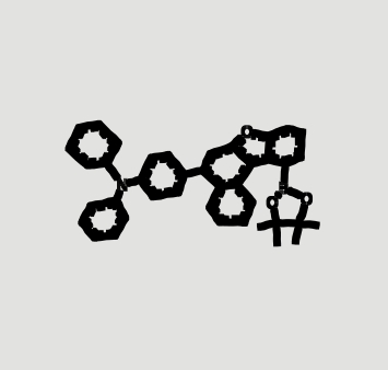 CC1(C)OB(c2cccc3oc4cc(-c5ccc(N(c6ccccc6)c6ccccc6)cc5)c5ccccc5c4c23)OC1(C)C